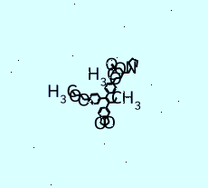 CCC(=C(c1ccc(OCOC)cc1)c1ccc(OCC(CN2CCCC2)OC(C)=O)cc1)c1ccc2c(c1)OCO2